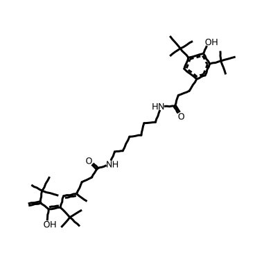 C=C(/C(O)=C(\C=C(/C)CCC(=O)NCCCCCCNC(=O)CCc1cc(C(C)(C)C)c(O)c(C(C)(C)C)c1)C(C)(C)C)C(C)(C)C